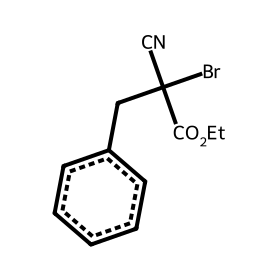 CCOC(=O)C(Br)(C#N)Cc1ccccc1